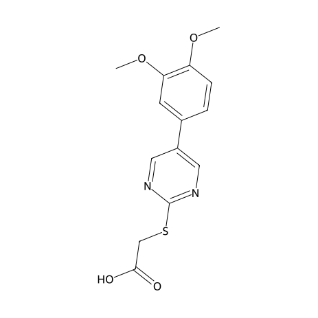 COc1ccc(-c2cnc(SCC(=O)O)nc2)cc1OC